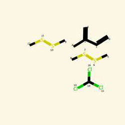 C=CC(=C)C.CSSC.CSSC.ClC(Cl)Cl